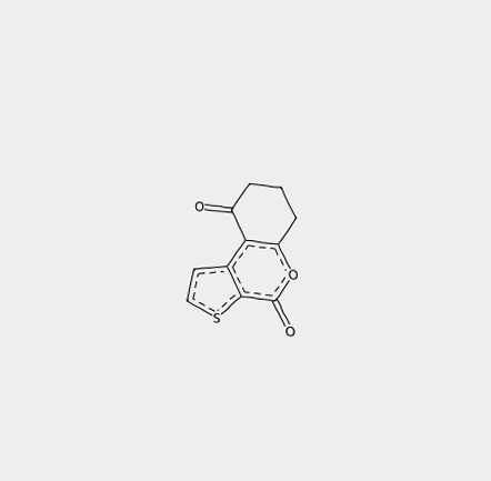 O=C1CCCc2oc(=O)c3sccc3c21